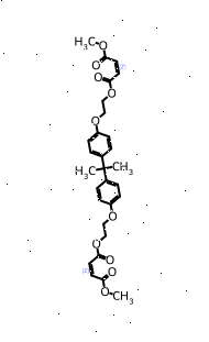 COC(=O)/C=C\C(=O)OCCOc1ccc(C(C)(C)c2ccc(OCCOC(=O)/C=C\C(=O)OC)cc2)cc1